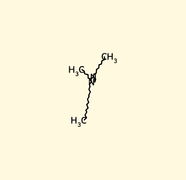 CCCCCCCCCCCCCCCN1C=CN(CCCCCCCCC)C1CCCCC